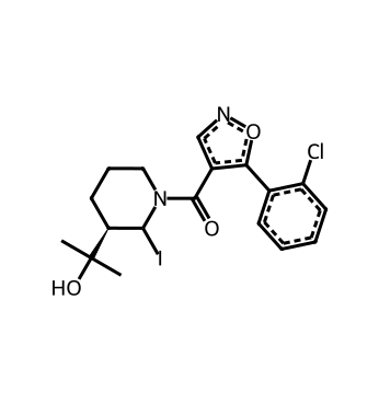 CC(C)(O)[C@H]1CCCN(C(=O)c2cnoc2-c2ccccc2Cl)C1I